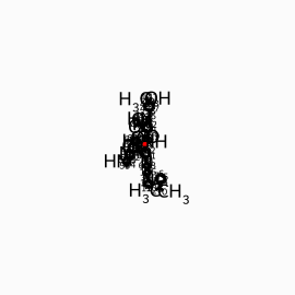 CC(C)c1ccccc1[C@@H]1CCCN1C1CC2(C1)CN(c1ccc(C(=O)NS(=O)(=O)c3ccc(NCC4CCC(C)(O)CC4)c([N+](=O)[O-])c3)c(N3c4cc5cc[nH]c5nc4O[C@@H]4COC[C@H]43)c1)C2